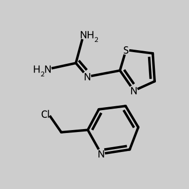 ClCc1ccccn1.NC(N)=Nc1nccs1